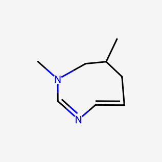 CC1C/C=C/N=C\N(C)C1